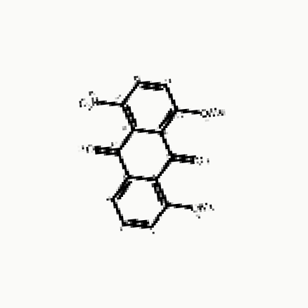 COc1cccc2c1C(=O)c1c(OC)ccc([N+](=O)[O-])c1C2=O